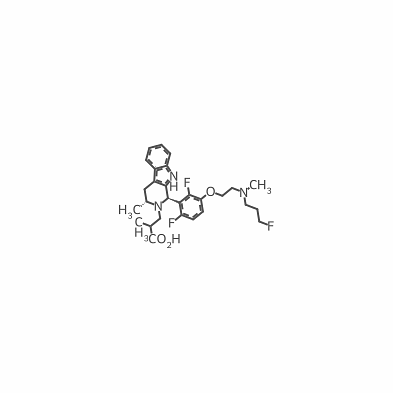 CC(CN1[C@H](c2c(F)ccc(OCCN(C)CCCF)c2F)c2[nH]c3ccccc3c2C[C@H]1C)C(=O)O